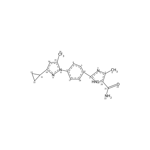 Cc1nc(-c2ccc(-n3nc(C4CC4)cc3C(F)(F)F)cc2)[nH]c1C(N)=O